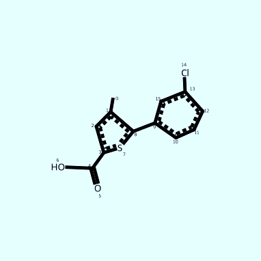 Cc1cc(C(=O)O)sc1-c1cccc(Cl)c1